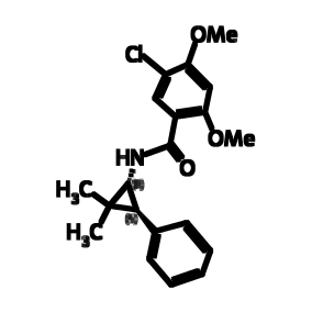 COc1cc(OC)c(C(=O)N[C@@H]2[C@@H](c3ccccc3)C2(C)C)cc1Cl